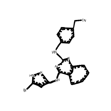 N#CCc1ccc(Nc2nc(Nc3cc(Br)[nH]n3)c3ccccc3n2)cc1